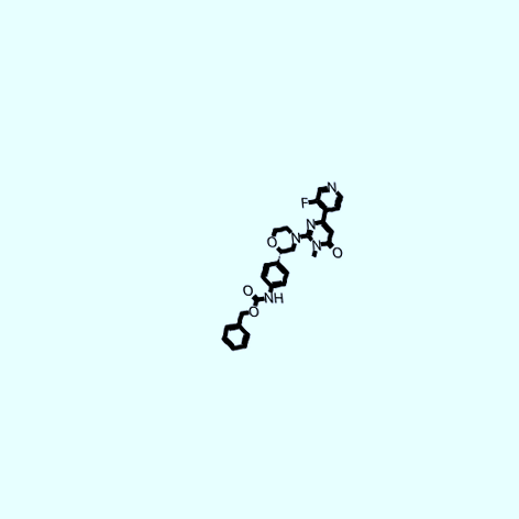 Cn1c(N2CCO[C@@H](c3ccc(NC(=O)OCc4ccccc4)cc3)C2)nc(-c2ccncc2F)cc1=O